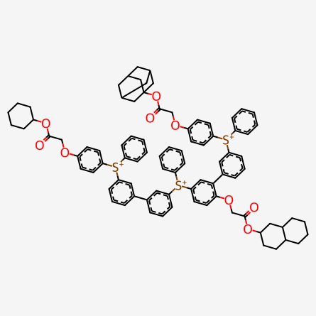 O=C(COc1ccc([S+](c2ccccc2)c2cccc(-c3cccc([S+](c4ccccc4)c4ccc(OCC(=O)OC5CCC6CCCCC6C5)c(-c5cccc([S+](c6ccccc6)c6ccc(OCC(=O)OC78CC9CC(CC(C9)C7)C8)cc6)c5)c4)c3)c2)cc1)OC1CCCCC1